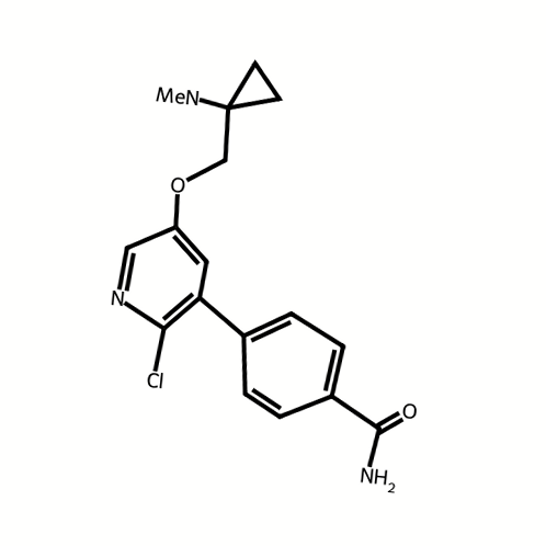 CNC1(COc2cnc(Cl)c(-c3ccc(C(N)=O)cc3)c2)CC1